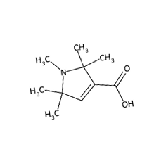 CN1C(C)(C)C=C(C(=O)O)C1(C)C